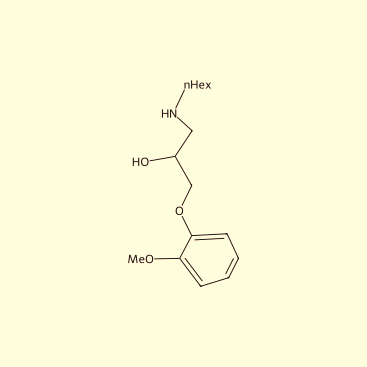 [CH2]CCCCCNCC(O)COc1ccccc1OC